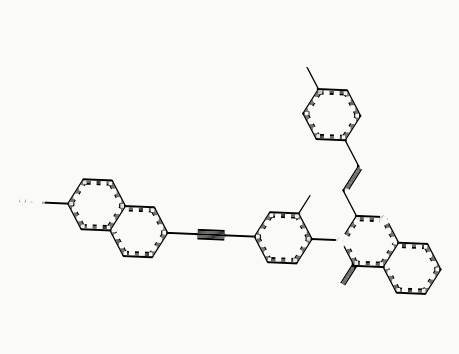 COc1ccc2cc(C#Cc3ccc(-n4c(C=Cc5ccc(Cl)cc5)nc5ccccc5c4=O)c(C)c3)ccc2c1